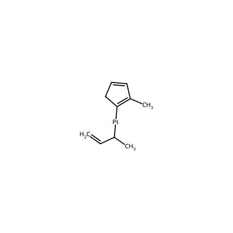 C=C[CH](C)[Pt][C]1=C(C)C=CC1